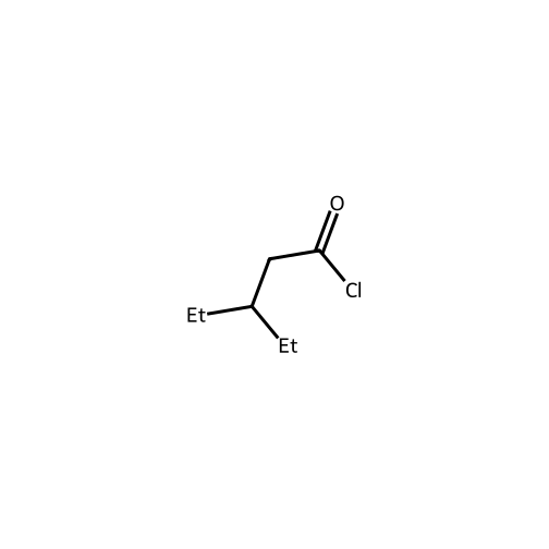 CCC(CC)CC(=O)Cl